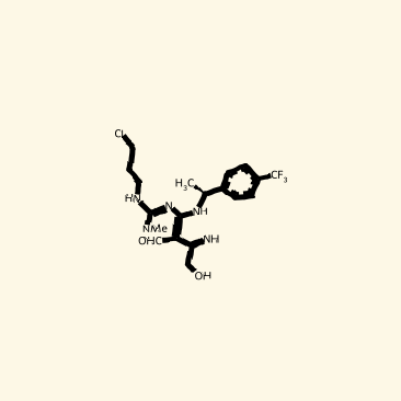 CN/C(=N\C(N[C@@H](C)c1ccc(C(F)(F)F)cc1)=C(/C=O)C(=N)CO)NCCCCl